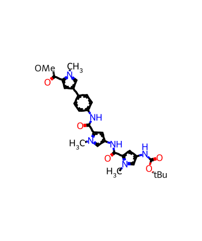 COC(=O)c1cc(-c2ccc(NC(=O)c3cc(NC(=O)c4cc(NC(=O)OC(C)(C)C)cn4C)cn3C)cc2)cn1C